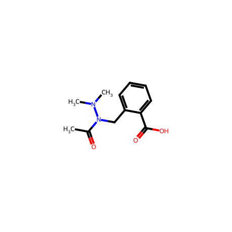 CC(=O)N(Cc1ccccc1C(=O)O)N(C)C